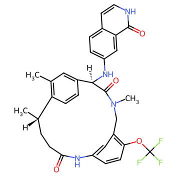 Cc1cc2ccc1[C@@H](C)CCC(=O)Nc1ccc(OC(F)(F)F)c(c1)CN(C)C(=O)[C@@H]2Nc1ccc2cc[nH]c(=O)c2c1